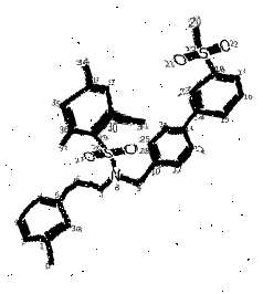 Cc1cccc(CCN(Cc2ccc(-c3cccc(S(C)(=O)=O)c3)cc2)S(=O)(=O)c2c(C)cc(C)cc2C)c1